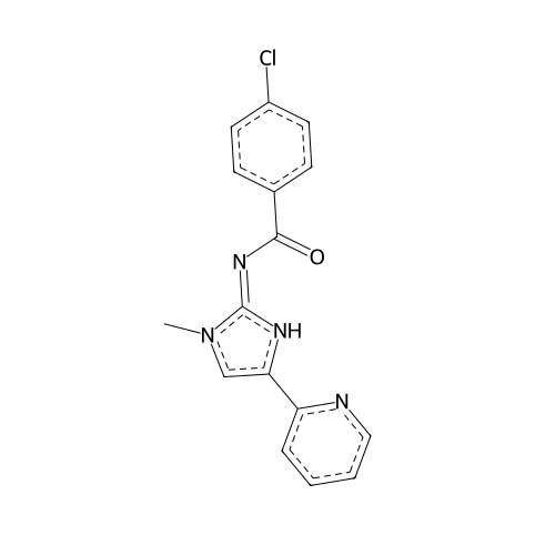 Cn1cc(-c2ccccn2)[nH]/c1=N\C(=O)c1ccc(Cl)cc1